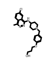 Cc1nnc(NC2CCN(Cc3ccc(OCCCO)cc3)CC2)c2cc(Cl)ccc12